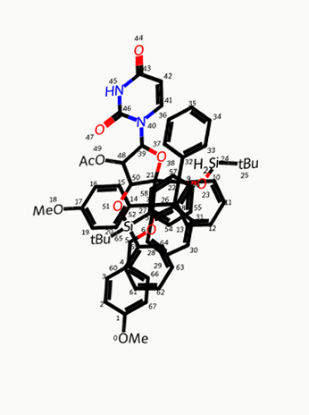 COc1ccc(COC(c2ccccc2)(c2ccc(OC)cc2)C2(C(O[SiH2]C(C)(C)C)(c3ccccc3)c3ccccc3)OC(n3ccc(=O)[nH]c3=O)C(OC(C)=O)C2O[Si](c2ccccc2)(c2ccccc2)C(C)(C)C)cc1